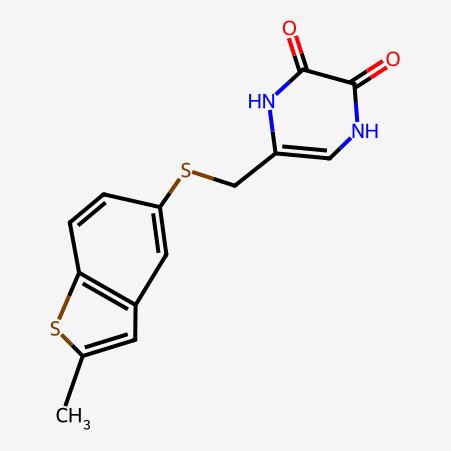 Cc1cc2cc(SCc3c[nH]c(=O)c(=O)[nH]3)ccc2s1